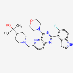 CC(C)(O)C1CCN(Cc2ccc3nc(-c4c(F)ccc5[nH]ccc45)nc(N4CCOCC4)c3n2)CC1